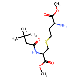 COC(=O)[C@H](CSCC[C@H](N)C(=O)OC)NC(=O)CC(C)(C)C